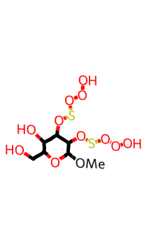 COC1OC(CO)C(O)C(OSOOO)C1OSOOO